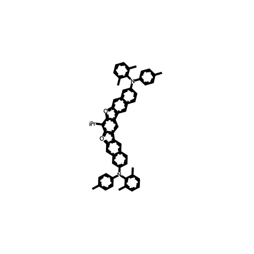 Cc1ccc(N(c2ccc3cc4c(cc3c2)oc2c(C(C)C)c3oc5cc6cc(N(c7ccc(C)cc7)c7c(C)cccc7C)ccc6cc5c3cc24)c2c(C)cccc2C)cc1